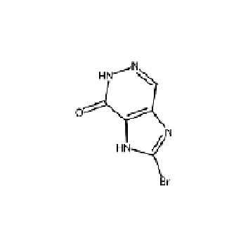 O=c1[nH]ncc2nc(Br)[nH]c12